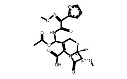 CON=C(C(=O)NC(OC(C)=O)C1=C(C(=O)O)N2C(=O)[C@@H](OC)[C@H]2SC1)c1ccco1